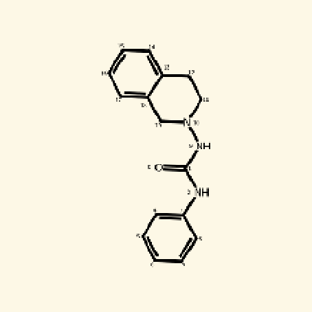 O=C(Nc1ccccc1)NN1CCc2ccccc2C1